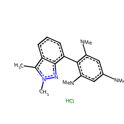 CNc1cc(NC)c(-c2cccc3c(C)n(C)nc23)c(NC)c1.Cl